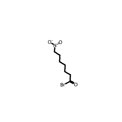 O=C(Br)CCCCCC[N+](=O)[O-]